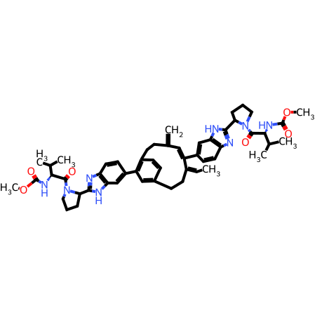 C=C1/C=C(c2ccc3nc(C4CCCN4C(=O)[C@@H](NC(=O)OC)C(C)C)[nH]c3c2)\C(=C/C)CCc2ccc(c(-c3ccc4nc(C5CCCN5C(=O)[C@@H](NC(=O)OC)C(C)C)[nH]c4c3)c2)CC1